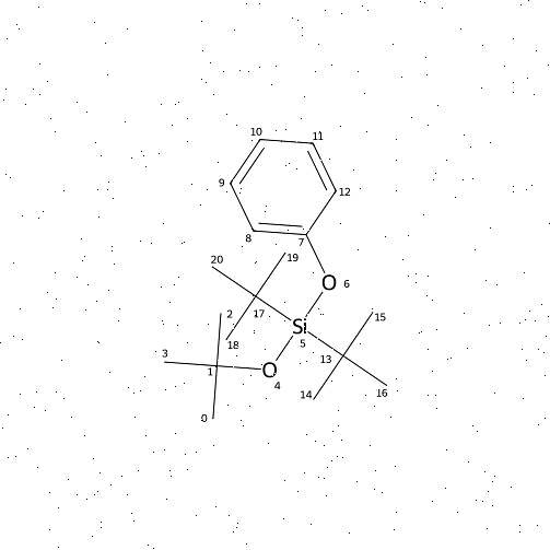 CC(C)(C)O[Si](Oc1ccccc1)(C(C)(C)C)C(C)(C)C